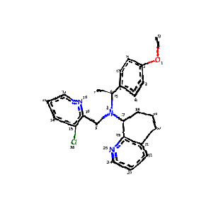 COc1ccc([C@H](C)N(Cc2ncccc2Cl)C2CCCc3cccnc32)cc1